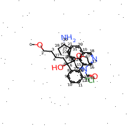 COCCCC[C@@](O)(c1cccc(Cl)c1-c1cncc2ccccc12)[C@@]1([C@@H]2CC[C@H](N)C2)CN(C=O)CCO1